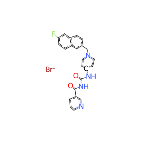 O=C(NC(=O)c1cccnc1)N[c+]1ccn(Cc2ccc3cc(F)ccc3c2)cc1.[Br-]